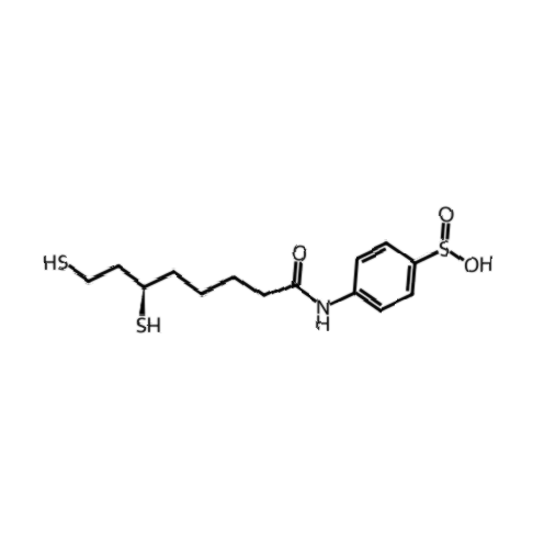 O=C(CCCC[C@@H](S)CCS)Nc1ccc(S(=O)O)cc1